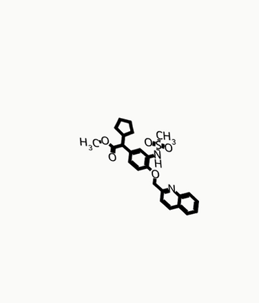 COC(=O)C(c1ccc(OCc2ccc3ccccc3n2)c(NS(C)(=O)=O)c1)C1CCCC1